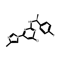 Cc1cn(-c2cc(Cl)nc(N[C@@H](C)c3ccc(F)cc3)n2)cn1